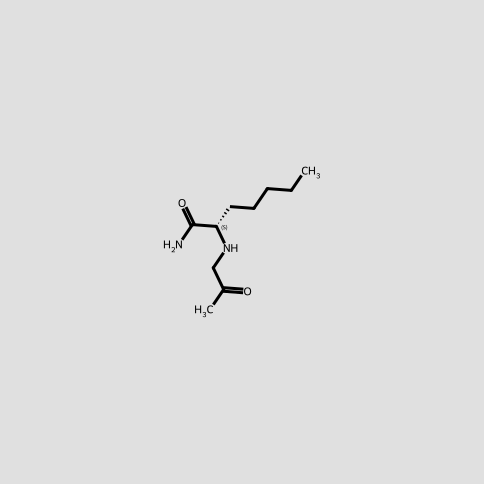 CCCCC[C@H](NCC(C)=O)C(N)=O